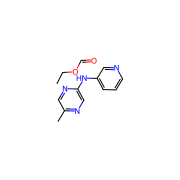 CCOC=O.Cc1cnc(Nc2cccnc2)cn1